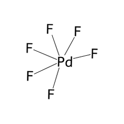 [F][Pd]([F])([F])([F])([F])[F]